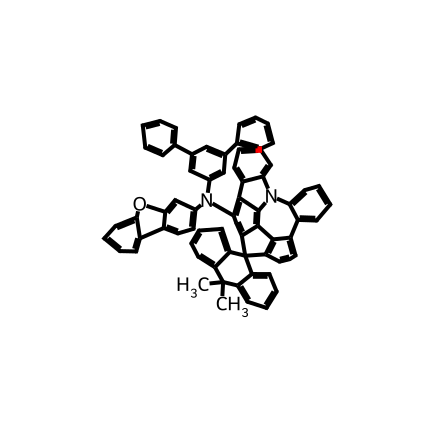 CC1(C)c2ccccc2C2(c3ccccc31)c1cccc3c1-c1c2cc(N(c2cc(-c4ccccc4)cc(-c4ccccc4)c2)c2ccc4c(c2)oc2ccccc24)c2c4ccccc4n(c12)-c1ccccc1-3